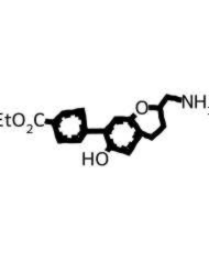 CCOC(=O)c1ccc(-c2cc3c(cc2O)CCC(CN)O3)cc1